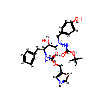 CC(C)(C)OC(=O)NN(Cc1ccc(O)cc1)C[C@H](O)[C@H](Cc1ccccc1)NC(=O)OCc1cncs1